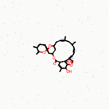 CC1=CC2C(=O)OC3CC(C/C=C(/C)CC(C)/C=C\C=C4\COC(C1O)C42O)OC1(CCC(C)C(C)O1)C3